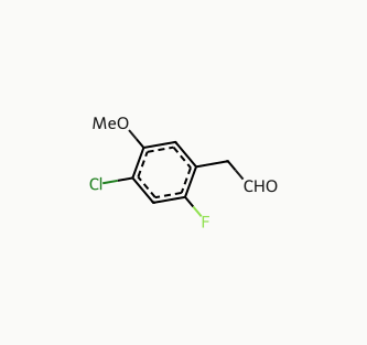 COc1cc(CC=O)c(F)cc1Cl